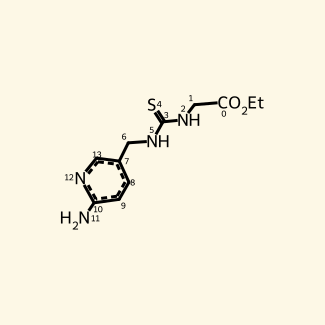 CCOC(=O)CNC(=S)NCc1ccc(N)nc1